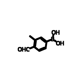 Cc1cc(B(O)O)ccc1C=O